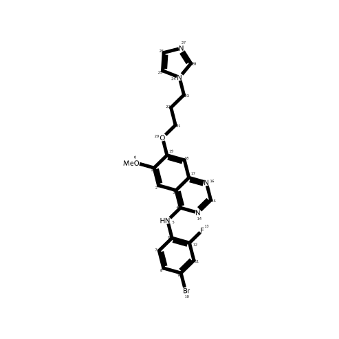 COc1cc2c(Nc3ccc(Br)cc3F)ncnc2cc1OCCCn1ccnc1